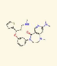 CNCCC(Oc1cccc(N2CCN(C)c3cc(N(C)C)ncc3C2=O)c1)c1cccs1